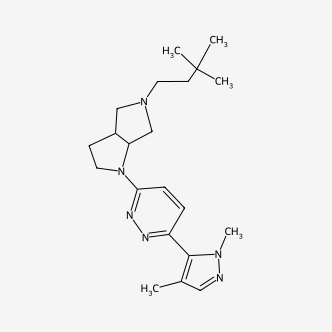 Cc1cnn(C)c1-c1ccc(N2CCC3CN(CCC(C)(C)C)CC32)nn1